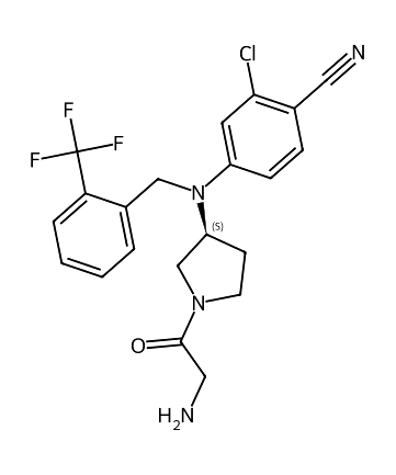 N#Cc1ccc(N(Cc2ccccc2C(F)(F)F)[C@H]2CCN(C(=O)CN)C2)cc1Cl